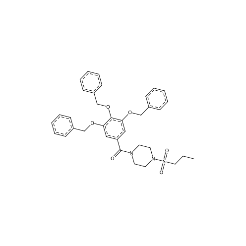 CCCS(=O)(=O)N1CCN(C(=O)c2cc(OCc3ccccc3)c(OCc3ccccc3)c(OCc3ccccc3)c2)CC1